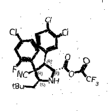 CC(C)(C)C[C@@H]1N[C@@H](C(=O)OC(=O)C(F)(F)F)[C@H](c2ccc(Cl)c(Cl)c2)[C@@]1(C#N)c1ccc(Cl)cc1F